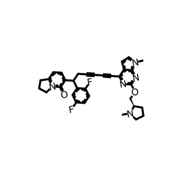 CN1CCC[C@@H]1COc1nc(C#CC#CCC(c2cc(F)ccc2F)c2ccc3n(c2=O)CCC3)c2ccn(C)c2n1